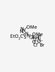 CCOC(=O)c1sc(N2CC[C@@H](NC(=O)c3[nH]c(C)c(Br)c3Cl)[C@@H](OC)C2)nc1-c1ncnn1CCOC